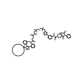 CC(C)(CNC(=O)CCC(=O)N1Cc2ccccc2-c2c(nnn2C2(C)CCCCCCCCCCCCCCCCC2)-c2ccccc21)COCC(C)(C)Cn1cc(-c2cccc(NC(=O)N3CCC4(CC3)NC(=O)N(c3ccccc3)C4=O)c2)nn1